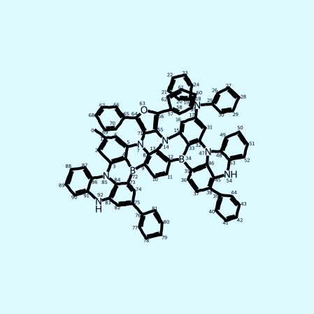 Cc1cc2c3c(c1)N1c4c(ccc5c4N(c4cc(N(c6ccccc6)c6ccccc6)cc6c4B5c4ccc(-c5ccccc5)c5c4N6c4ccccc4N5)c4c(-c5ccccc5)oc(-c5ccccc5)c41)B3c1cc(-c3ccccc3)cc3c1N2c1ccccc1N3